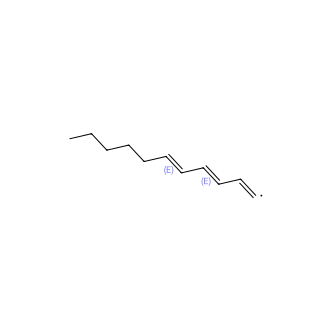 [CH]=C/C=C/C=C/CCCCC